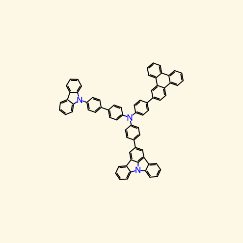 c1ccc2c(c1)c1ccccc1c1cc(-c3ccc(N(c4ccc(-c5ccc(-n6c7ccccc7c7ccccc76)cc5)cc4)c4ccc(-c5cc6c7ccccc7n7c8ccccc8c(c5)c67)cc4)cc3)ccc21